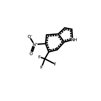 O=[N+]([O-])c1cc2cc[nH]c2cc1C(F)(F)F